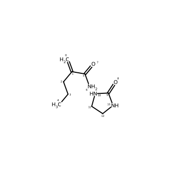 C=C(CCC)C(N)=O.O=C1NCCN1